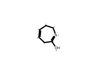 OC1=NCCC=CC1